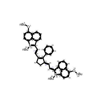 CCCCOc1ccc2c3c(cccc13)C(/C=C/C1=C(c3ccccc3)C(=C/C=c3\c4cccc5c(OCCCC)ccc(c54)n3CCCC)/CC1)=[N+]2CCCC